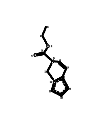 CCOC(=O)N1C=Cc2cccn2C1